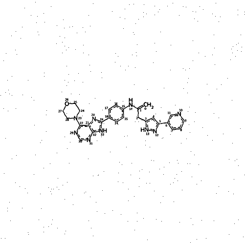 C=C(Cc1cc(-c2cccnc2)n[nH]1)Nc1ccc(-c2nc3c(N4CCOCC4)ncnc3[nH]2)cc1